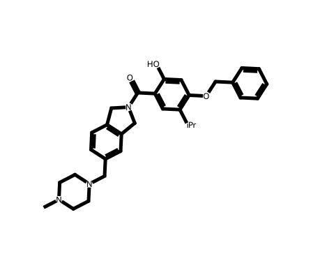 CC(C)c1cc(C(=O)N2Cc3ccc(CN4CCN(C)CC4)cc3C2)c(O)cc1OCc1ccccc1